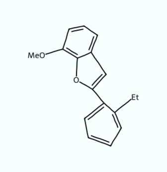 CCc1ccccc1-c1cc2cccc(OC)c2o1